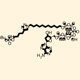 CCCCOP(=O)(O)OCCCCc1cn(CCCCCCCCCCCOP(=O)(O)OP(=O)(O)OP(=O)(O)OP(=O)(O)OP(=O)(O)OP(=O)(O)OC[C@@H]2O[C@H](n3cnc4c(N)ncnc43)CC2O)nn1